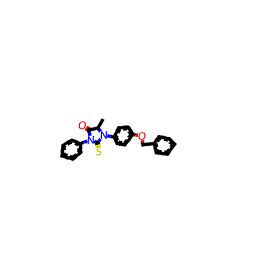 CC1C(=O)N(c2ccccc2)C(=S)N1c1ccc(OCc2ccccc2)cc1